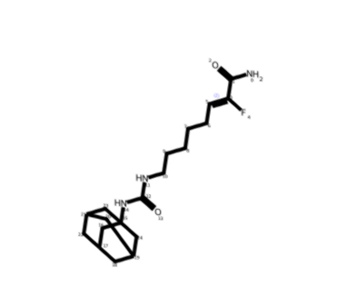 NC(=O)/C(F)=C/CCCCCNC(=O)NC12CC3CC(CC(C3)C1)C2